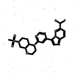 CS(=O)(=O)N1CCC2C(C1)OCCN2c1cc(-c2cnc3ccc(C(F)F)nn23)ncn1